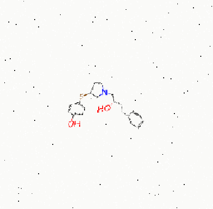 Oc1ccc(S[C@H]2CCN(C[C@@H](O)CCc3ccccc3)C2)cc1